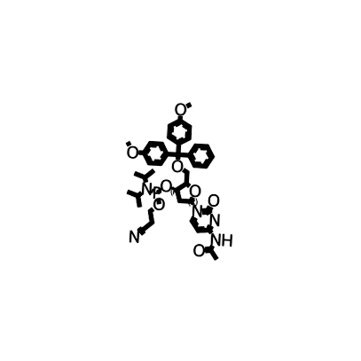 COc1ccc(C(OCC2O[C@@H](n3ccc(NC(C)=O)nc3=O)C[C@H]2OP(OCCC#N)N(C(C)C)C(C)C)(c2ccccc2)c2ccc(OC)cc2)cc1